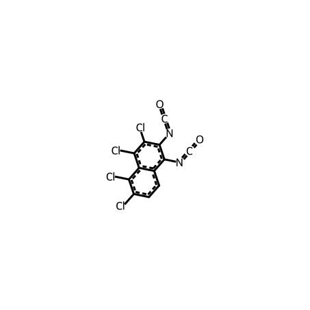 O=C=Nc1c(Cl)c(Cl)c2c(Cl)c(Cl)ccc2c1N=C=O